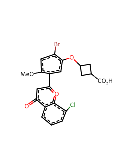 COc1cc(Br)c(OC2CC(C(=O)O)C2)cc1-c1cc(=O)c2cccc(Cl)c2o1